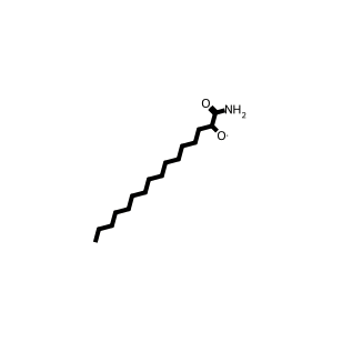 CCCCCCCCCCCCCCC([O])C(N)=O